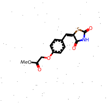 COC(=O)COc1ccc(C=C2SC(=O)NC2=O)cc1